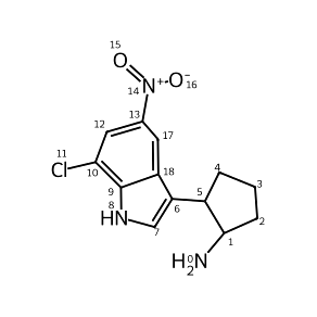 NC1CCCC1c1c[nH]c2c(Cl)cc([N+](=O)[O-])cc12